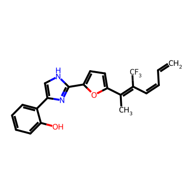 C=C/C=C\C(=C(/C)c1ccc(-c2nc(-c3ccccc3O)c[nH]2)o1)C(F)(F)F